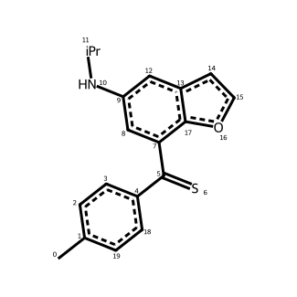 Cc1ccc(C(=S)c2cc(NC(C)C)cc3ccoc23)cc1